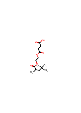 CC(CC(C)(C)C)C(=O)OCCOC(=O)CCC(=O)O